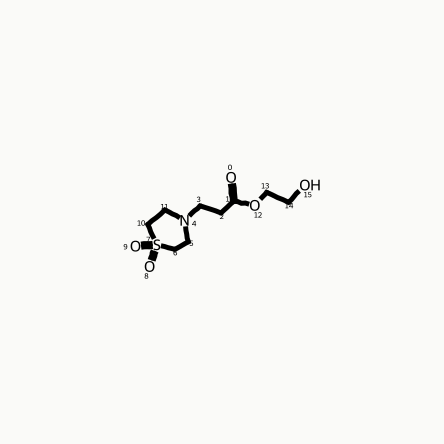 O=C(CCN1CCS(=O)(=O)CC1)OCCO